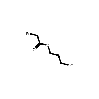 CC(C)CCCOC(=O)CC(C)C